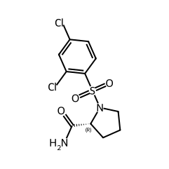 NC(=O)[C@H]1CCCN1S(=O)(=O)c1ccc(Cl)cc1Cl